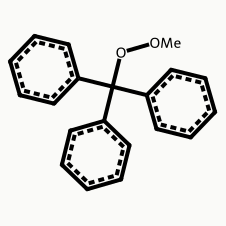 COOC(c1ccccc1)(c1ccccc1)c1ccccc1